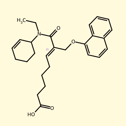 CCN(C(=O)/C(=C/CCCCC(=O)O)COc1cccc2ccccc12)C1C=CCCC1